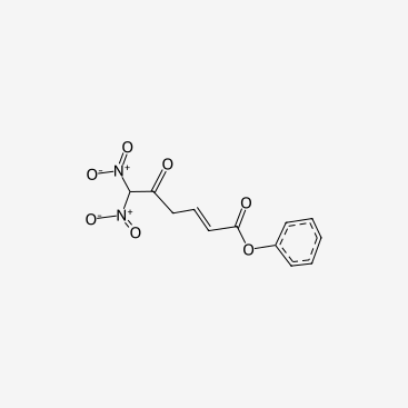 O=C(/C=C/CC(=O)C([N+](=O)[O-])[N+](=O)[O-])Oc1ccccc1